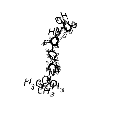 CC(C)(C)OC(=O)N1CC=C(N2CCC(c3ccc(NC4CCC(=O)NC4=O)cc3F)CC2)C(F)(F)C1